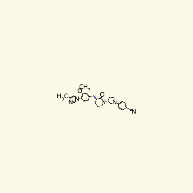 COc1cc(/C=C2\CCCN(C3CCN(c4ccc(C#N)cc4)C3)C2=O)ccc1-n1cnc(C)c1